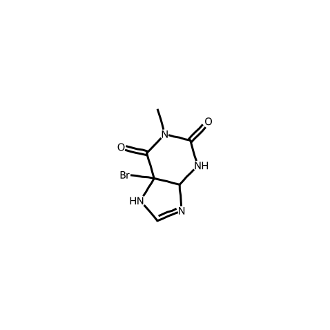 CN1C(=O)NC2N=CNC2(Br)C1=O